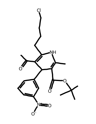 CC(=O)C1=C(CCCCCl)NC(C)=C(C(=O)OC(C)(C)C)C1c1cccc([N+](=O)[O-])c1